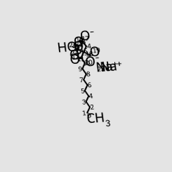 CCCCCCCCCCCC(=O)C(CC(=O)[O-])(C(=O)[O-])S(=O)(=O)O.[Na+].[Na+]